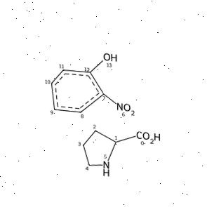 O=C(O)C1CCCN1.O=[N+]([O-])c1ccccc1O